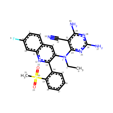 CCN(c1cc2ccc(F)cc2nc1-c1ccccc1S(C)(=O)=O)c1nc(N)nc(N)c1C#N